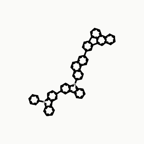 c1ccc(-n2c3ccccc3c3cc(-c4ccc5c(c4)c4ccccc4n5-c4ccc5c(ccc6cc(-c7ccc8c(c7)-c7cc9ccccc9c9cccc-8c79)ccc65)c4)ccc32)cc1